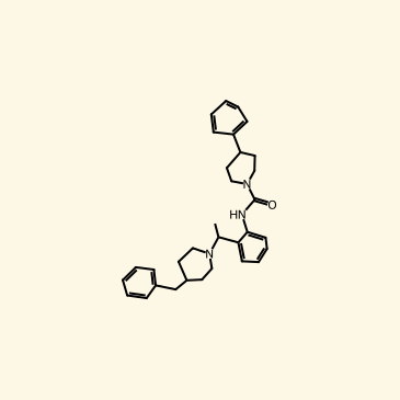 CC(c1ccccc1NC(=O)N1CCC(c2ccccc2)CC1)N1CCC(Cc2ccccc2)CC1